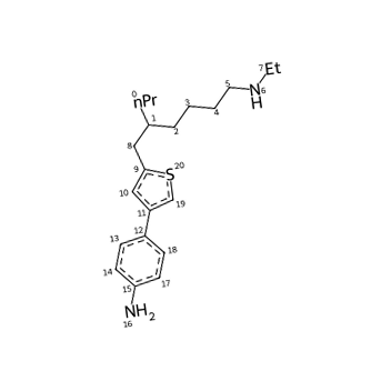 CCCC(CCCCNCC)Cc1cc(-c2ccc(N)cc2)cs1